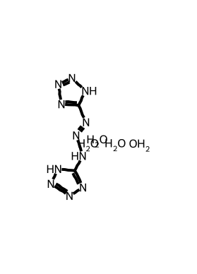 N(=Nc1nnn[nH]1)Nc1nnn[nH]1.O.O.O.O